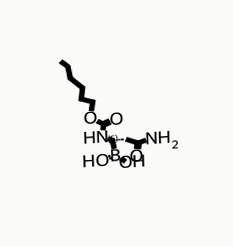 CCCCCCOC(=O)N[C@H](CC(N)=O)B(O)O